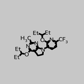 CCC(CC)Oc1nc(C(F)(F)F)ccc1N1CCc2c(OC(CC)CC)nc(C)nc21